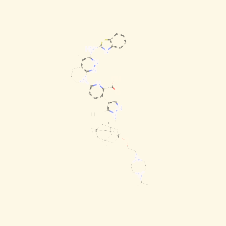 Cc1c(Nc2nc3ccccc3s2)nnc2c1CCCN2c1ccc(-c2cnn(C[C@]34C[C@]5(C)C[C@](C)(C3)C[C@@](OCCN3CCN(C(C)C)CC3)(C5)C4)c2C)c(C(=O)O)n1